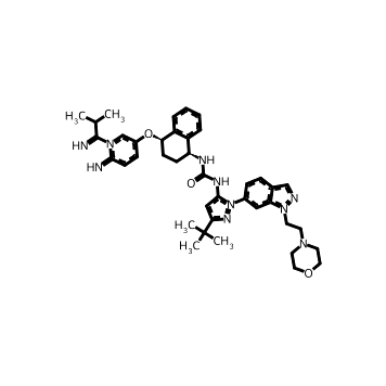 CC(C)C(=N)n1cc(O[C@@H]2CC[C@H](NC(=O)Nc3cc(C(C)(C)C)nn3-c3ccc4cnn(CCN5CCOCC5)c4c3)c3ccccc32)ccc1=N